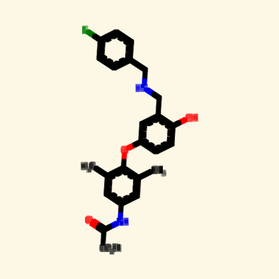 CCOC(=O)C(=O)Nc1cc(C)c(Oc2ccc(O)c(CNCc3ccc(F)cc3)c2)c(C)c1